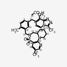 Cc1ccc([C@H](CC(=O)O)c2ccn3c(C(F)(F)F)nnc3c2C)cc1CN1CC2CCCCN2c2ncc(C(F)(F)F)cc2S1(=O)=O